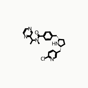 CC(c1cnccn1)N(C)C(=O)c1ccc(C[C@@H]2CC[C@H](Cc3ccc(Cl)nc3)N2)cc1